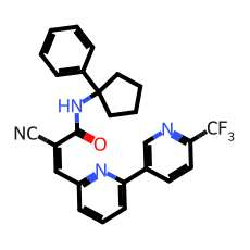 N#CC(=Cc1cccc(-c2ccc(C(F)(F)F)nc2)n1)C(=O)NC1(c2ccccc2)CCCC1